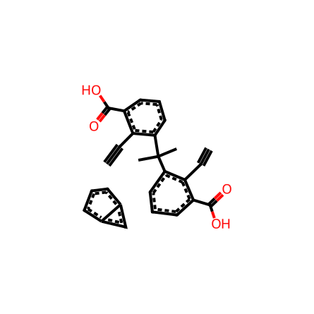 C#Cc1c(C(=O)O)cccc1C(C)(C)c1cccc(C(=O)O)c1C#C.c1cc2cc-2c1